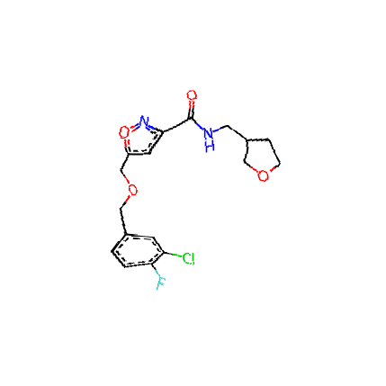 O=C(NCC1CCOC1)c1cc(COCc2ccc(F)c(Cl)c2)on1